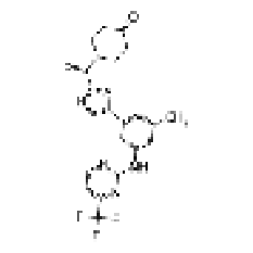 Cc1cc(Nc2nccc(C(F)(F)F)n2)cc(-c2cnc(C(=O)C3CCC(=O)CC3)s2)c1